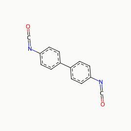 O=C=Nc1ccc(-c2ccc(N=C=O)cc2)cc1